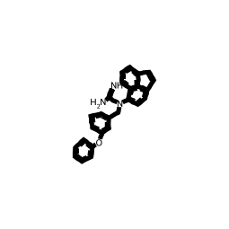 N=C(N)N(Cc1cccc(Oc2ccccc2)c1)c1ccc2c3c(cccc13)C=C2